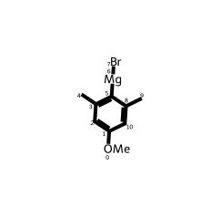 COc1cc(C)[c]([Mg][Br])c(C)c1